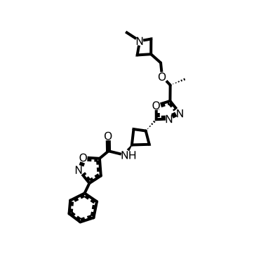 C[C@@H](OCC1CN(C)C1)c1nnc([C@H]2C[C@H](NC(=O)c3cc(-c4ccccc4)no3)C2)o1